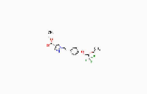 CCOC(=O)c1cnn(CCc2ccc(O/C=C(\OCC)C(F)(F)F)cc2)c1